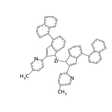 Cc1ccc(C2=Cc3c(-c4cccc5ccccc45)cccc3[CH]2[Zr][CH]2C(c3ccc(C)cn3)=Cc3c(-c4cccc5ccccc45)cccc32)nc1